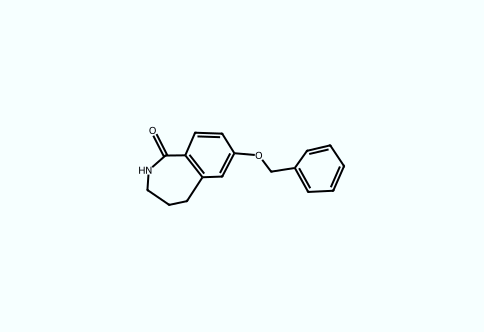 O=C1NCCCc2cc(OCc3ccccc3)ccc21